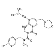 C[C@H](O)C#Cc1cc(CN2CCOCC2)cc2c(=O)c(C(=O)N(C)Cc3ccc(Cl)cc3)c[nH]c12